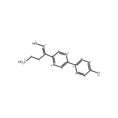 O=C(O)CC/C(=N\O)c1cnc(-c2ccc(Cl)cc2)cn1